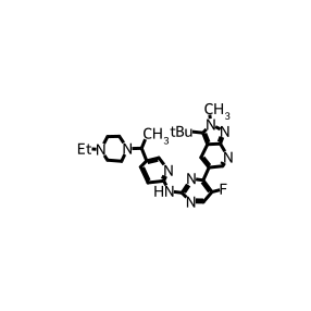 CCN1CCN(C(C)c2ccc(Nc3ncc(F)c(-c4cnc5nn(C)c(C(C)(C)C)c5c4)n3)nc2)CC1